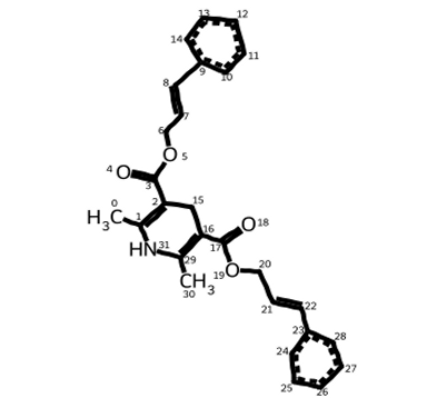 CC1=C(C(=O)OCC=Cc2ccccc2)CC(C(=O)OCC=Cc2ccccc2)=C(C)N1